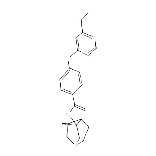 O=C(N[C@H]1CN2CCC1CC2)c1ccc(Sc2ccnc(CF)c2)cc1